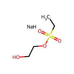 CCS(=O)(=O)OCCO.[NaH]